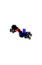 Cc1ccccc1COCCCc1nccc2c(C)c(C)[nH]c12